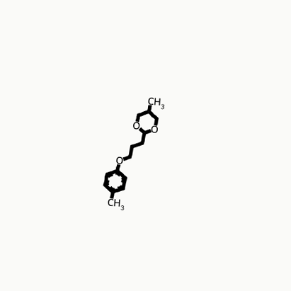 Cc1ccc(OCCCC2OCC(C)CO2)cc1